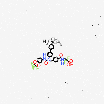 CC(C)(C)C1CC=C(c2ccc(N(Cc3ccc(C(=O)NCC(F)(F)C(=O)O)cc3)C(=O)Nc3ccc4c(c3)OC(F)(F)C(F)(F)O4)cc2)CC1